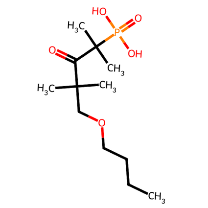 CCCCOCC(C)(C)C(=O)C(C)(C)P(=O)(O)O